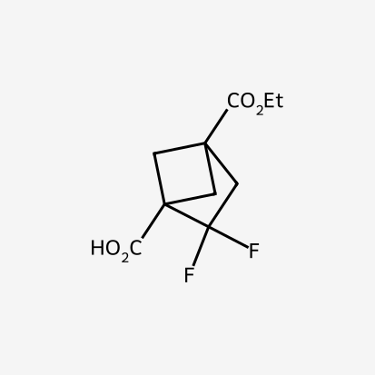 CCOC(=O)C12CC(F)(F)C(C(=O)O)(C1)C2